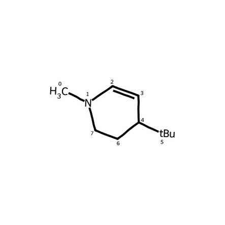 CN1C=CC(C(C)(C)C)CC1